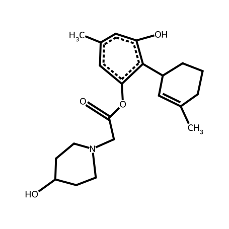 CC1=CC(c2c(O)cc(C)cc2OC(=O)CN2CCC(O)CC2)CCC1